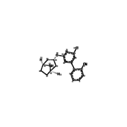 N#Cc1ccccc1-c1cc(Cl)nc(O[C@@H]2C[C@H]3CC[C@@H](C2)N3)c1